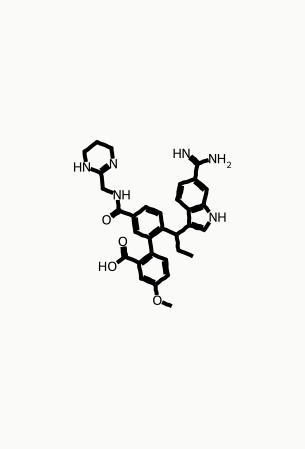 CCC(c1ccc(C(=O)NCC2=NCCCN2)cc1-c1ccc(OC)cc1C(=O)O)c1c[nH]c2cc(C(=N)N)ccc12